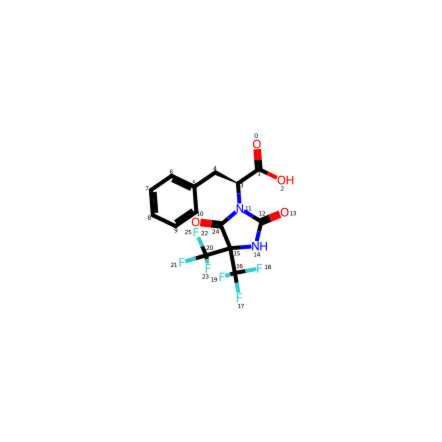 O=C(O)[C@H](Cc1ccccc1)N1C(=O)NC(C(F)(F)F)(C(F)(F)F)C1=O